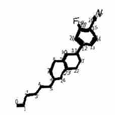 CCCCCCC1CCC2CC(c3ccc(C#N)c(F)c3)CCC2C1